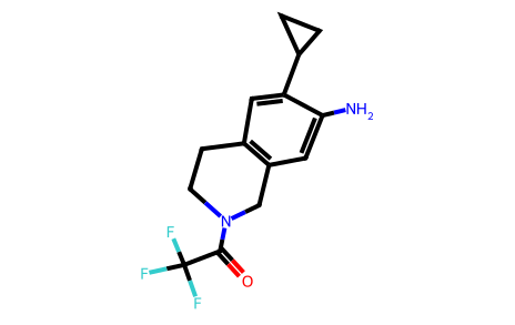 Nc1cc2c(cc1C1CC1)CCN(C(=O)C(F)(F)F)C2